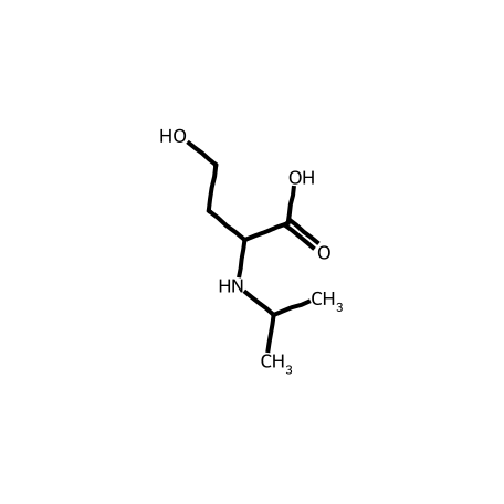 CC(C)NC(CCO)C(=O)O